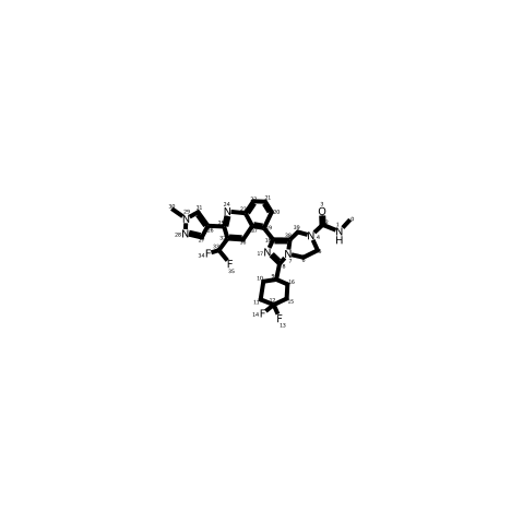 CNC(=O)N1CCn2c(C3CCC(F)(F)CC3)nc(-c3cccc4nc(-c5cnn(C)c5)c(C(F)F)cc34)c2C1